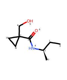 CC[C@@H](C)NC(=O)C1(CO)CC1